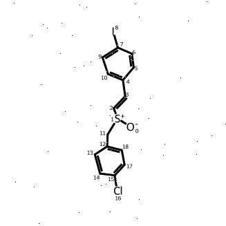 [O-][S+](C=Cc1ccc(I)cc1)Cc1ccc(Cl)cc1